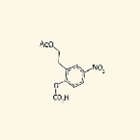 CC(=O)OCCc1cc([N+](=O)[O-])ccc1OC(=O)O